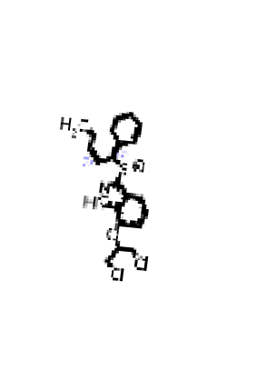 C=C/C=C\C(=C1\C=CC=CC1)[S+]([O-])c1n[nH]c2c(OC(CCl)CCl)cccc12